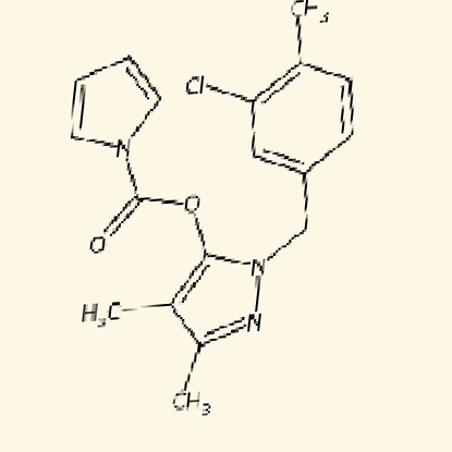 Cc1ccc(Cn2nc(C)c(C)c2OC(=O)n2cccc2)cc1Cl